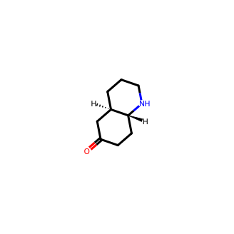 O=C1CC[C@H]2NCCC[C@@H]2C1